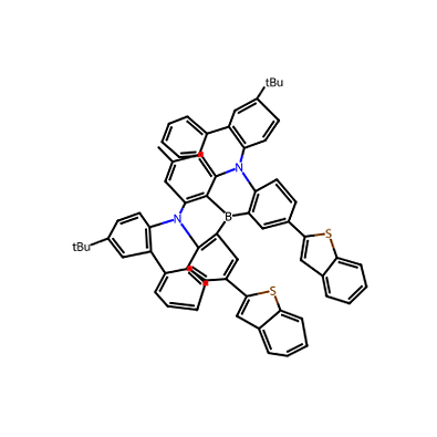 Cc1cc2c3c(c1)N(c1ccc(C(C)(C)C)cc1-c1ccccc1)c1ccc(-c4cc5ccccc5s4)cc1B3c1cc(-c3cc4ccccc4s3)ccc1N2c1ccc(C(C)(C)C)cc1-c1ccccc1